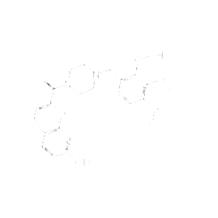 COc1ccc(CN2CCN(C(=S)C3=COc4ccc(O)cc4O3)CC2)c(OC)c1OC